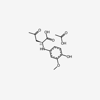 CC(=O)O.COc1cc(N[C@@H](CC(C)=O)C(=O)O)ccc1O